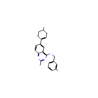 CCOC(=O)C1CC=C(c2ccc3nc(C)nc(N[C@H](C)c4cccc(C(F)(F)F)c4)c3c2)CC1